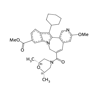 COC(=O)c1ccc2c(C3CCCCC3)c3n(c2c1)CC(C(=O)N1C[C@@H](C)O[C@@H](C)C1)=Cc1cc(OC)ncc1-3